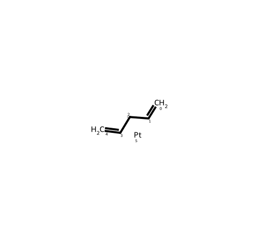 C=C[CH]C=C.[Pt]